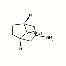 CCOC(=O)N1[C@@H]2CC[C@H]1CC(N)C2